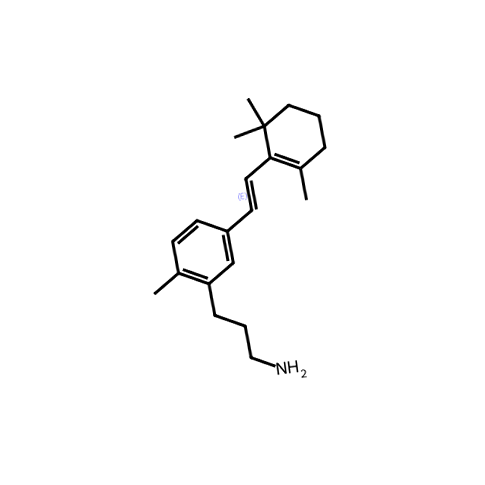 CC1=C(/C=C/c2ccc(C)c(CCCN)c2)C(C)(C)CCC1